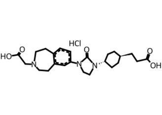 Cl.O=C(O)CC[C@H]1CC[C@H](N2CCN(c3ccc4c(c3)CCN(CC(=O)O)CC4)C2=O)CC1